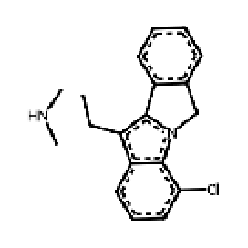 CCc1c2n(c3c(Cl)cccc13)Cc1ccccc1-2.CNC